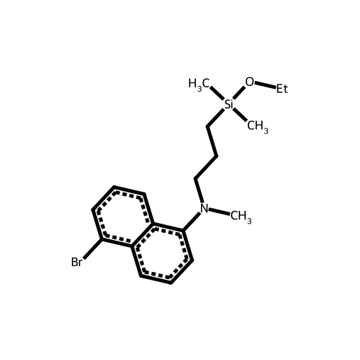 CCO[Si](C)(C)CCCN(C)c1cccc2c(Br)cccc12